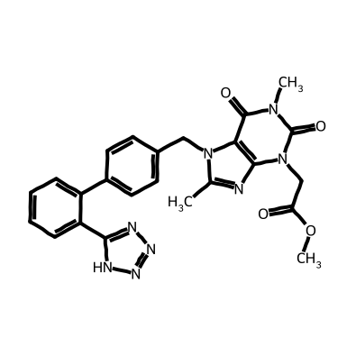 COC(=O)Cn1c(=O)n(C)c(=O)c2c1nc(C)n2Cc1ccc(-c2ccccc2-c2nnn[nH]2)cc1